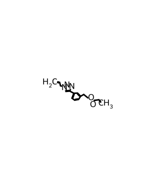 C=CCn1cc(-c2cccc(CCOC(=O)CC)c2)nn1